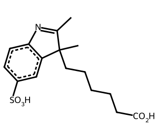 CC1=Nc2ccc(S(=O)(=O)O)cc2C1(C)CCCCCC(=O)O